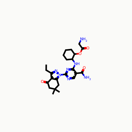 CCc1nn(-c2ncc(C(N)=O)c(NC3CCCCC3OC(=O)CN)n2)c2c1C(=O)CC(C)(C)C2